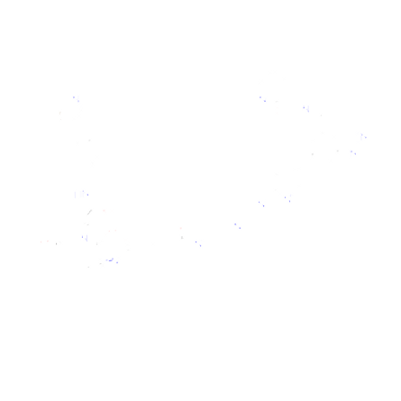 Cc1cc(C)c(CNC(=O)c2cc(-c3ccc(N4CCN(CCNC(=O)CCCC(=O)N[C@H](C(=O)N5C[C@H](O)C[C@H]5C(=O)NCc5ccc(-c6scnc6C)cc5)C(C)(C)C)CC4)nc3)cc3c2cnn3C(C)C)c(=O)[nH]1